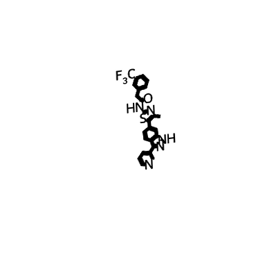 Cc1nc(NC(=O)Cc2cccc(C(F)(F)F)c2)sc1-c1ccc2c(-c3cccnc3)n[nH]c2c1